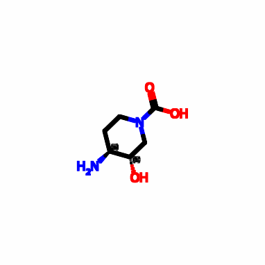 N[C@H]1CCN(C(=O)O)C[C@@H]1O